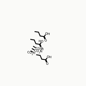 CC(=O)O.CC(=O)O.CC(=O)O.CCCC(=O)O.CCCC(=O)O.CCCC(=O)O